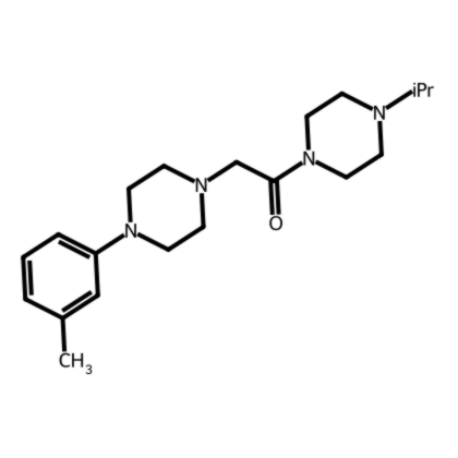 Cc1cccc(N2CCN(CC(=O)N3CCN(C(C)C)CC3)CC2)c1